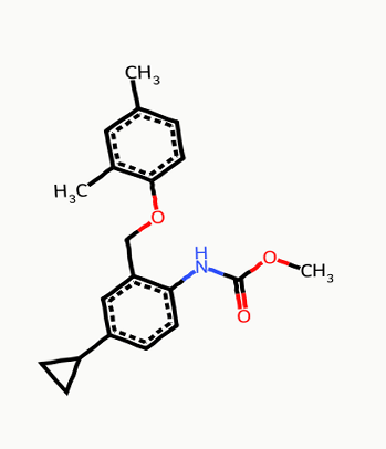 COC(=O)Nc1ccc(C2CC2)cc1COc1ccc(C)cc1C